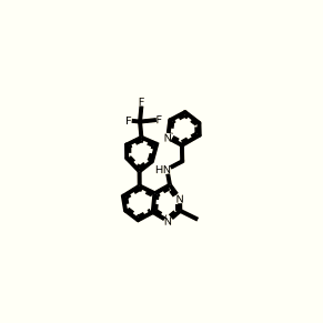 Cc1nc(NCc2ccccn2)c2c(-c3ccc(C(F)(F)F)cc3)cccc2n1